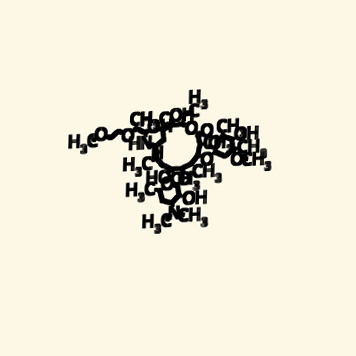 CC[C@H]1OC(=O)[C@H](C)[C@@H](O[C@H]2C[C@@](C)(OC)[C@@H](O)[C@H](C)O2)[C@H](C)C(O[C@@H]2O[C@H](C)C[C@H](N(C)C)[C@H]2O)[C@](C)(O)C[C@@H](C)[C@H]2C[C@H](O[C@H]([C@@H](C)OCCOC)N2)[C@]1(C)O